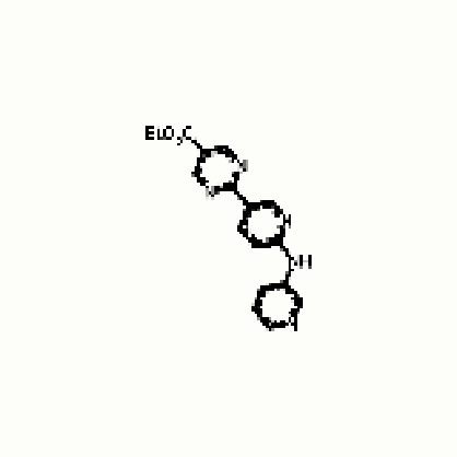 CCOC(=O)c1cnc(-c2ccc(Nc3cccnc3)nc2)nc1